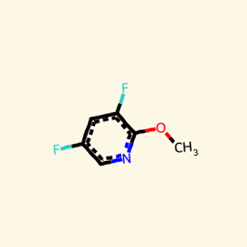 COc1ncc(F)cc1F